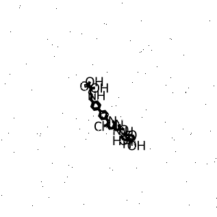 O=C(O)C(O)CNCc1ccc(-c2ccc(-c3nc4nc(O[C@@H]5CO[C@H]6[C@@H]5OC[C@H]6O)[nH]c4cc3Cl)cc2)cc1